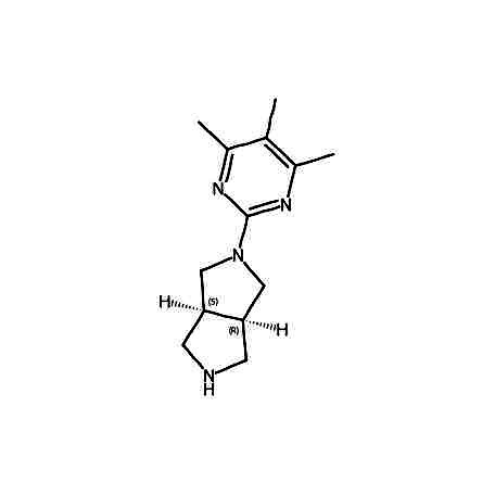 Cc1nc(N2C[C@H]3CNC[C@H]3C2)nc(C)c1C